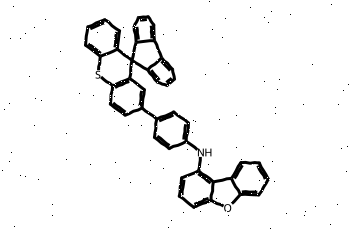 c1ccc2c(c1)Sc1ccc(-c3ccc(Nc4cccc5oc6ccccc6c45)cc3)cc1C21c2ccccc2-c2ccccc21